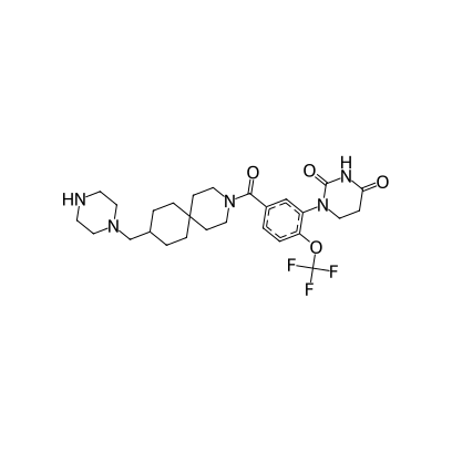 O=C1CCN(c2cc(C(=O)N3CCC4(CCC(CN5CCNCC5)CC4)CC3)ccc2OC(F)(F)F)C(=O)N1